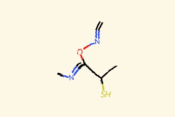 C=NO/C(=N\C)C(C)S